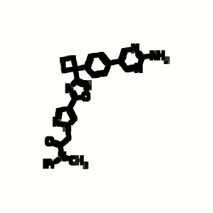 CC(C)N(C)C(=O)Cn1cc(-c2nc(C3(c4ccc(-c5cnc(N)nc5)cc4)CCC3)no2)cn1